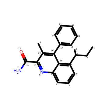 CCC(C)c1cccc2nc(C(N)=O)c(C)c(-c3ccccc3)c12